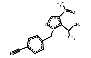 CC(C)c1c([N+](C)=O)cnn1Cc1ccc(C#N)cc1